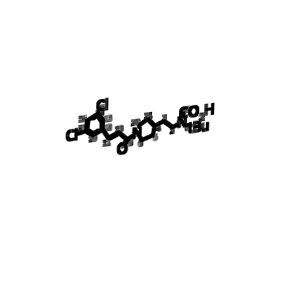 CC(C)(C)N(CCC1CCN(C(=O)C=Cc2cc(Cl)cc(Cl)c2)CC1)C(=O)O